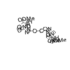 COC(=O)N[C@H](C(=O)N1CCC[C@H]1c1nc2ccc3cc(-c4ccc(-c5cnc([C@@H]6CC7(CN6C(=O)C(C(C)C)C(C)C(=O)OC)OCCO7)[nH]5)cc4)ccc3c2[nH]1)[C@@H](C)OC